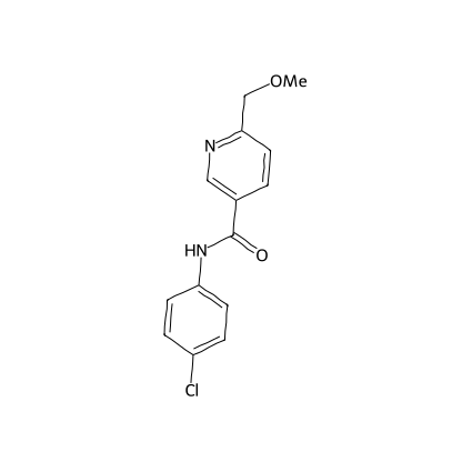 COCc1ccc(C(=O)Nc2ccc(Cl)cc2)cn1